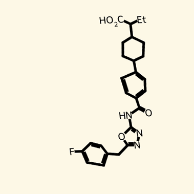 CCC(C(=O)O)C1CCC(c2ccc(C(=O)Nc3nnc(Cc4ccc(F)cc4)o3)cc2)CC1